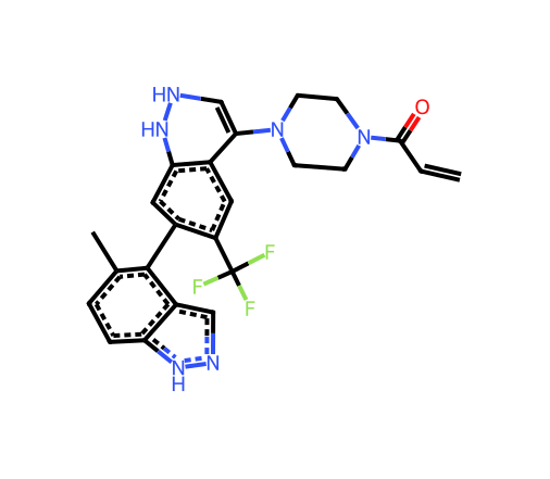 C=CC(=O)N1CCN(C2=CNNc3cc(-c4c(C)ccc5[nH]ncc45)c(C(F)(F)F)cc32)CC1